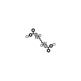 O=C(NCCCCNC(=O)N1CCN(C(c2ccccc2)c2ccc(Cl)cc2)CC1)N1CCN(C(c2ccccc2)c2ccc(Cl)cc2)CC1